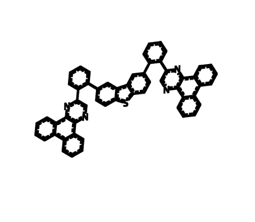 c1ccc(-c2cnc3c4ccccc4c4ccccc4c3n2)c(-c2ccc3sc4ccc(-c5ccccc5-c5cnc6c7ccccc7c7ccccc7c6n5)cc4c3c2)c1